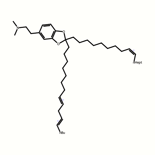 CCCC/C=C/C/C=C/CCCCCCCC1(CCCCCCCC/C=C\CCCCCCC)Oc2ccc(CCN(C)C)cc2O1